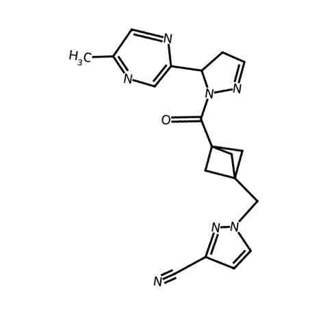 Cc1cnc(C2CC=NN2C(=O)C23CC(Cn4ccc(C#N)n4)(C2)C3)cn1